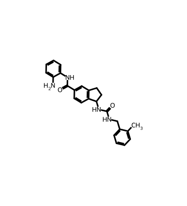 Cc1ccccc1CNC(=O)NC1CCc2cc(C(=O)Nc3ccccc3N)ccc21